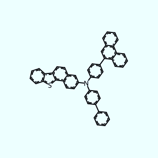 c1ccc(-c2ccc(N(c3ccc(-c4cc5ccccc5c5ccccc45)cc3)c3ccc4c(ccc5c6ccccc6sc45)c3)cc2)cc1